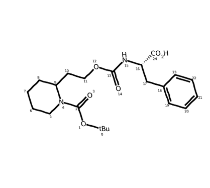 CC(C)(C)OC(=O)N1CCCCC1CCOC(=O)N[C@@H](Cc1ccccc1)C(=O)O